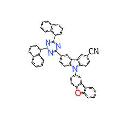 N#Cc1ccc2c(c1)c1cc(-c3nc(-c4cccc5ccccc45)nc(-c4cccc5ccccc45)n3)ccc1n2-c1ccc2oc3ccccc3c2c1